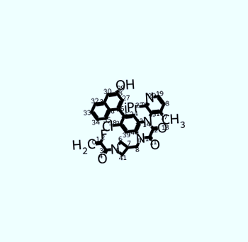 C=C(F)C(=O)N1CC(Cn2c(=O)c(=O)n(-c3c(C)ccnc3C(C)C)c3cc(-c4cc(O)cc5ccccc45)c(Cl)cc32)C1